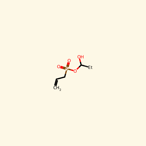 C=CCS(=O)(=O)OC(O)CC